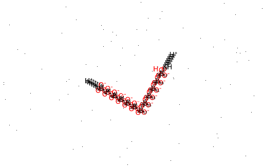 O.[H+].[H+].[H+].[H+].[H+].[H+].[H+].[H+].[H+].[H+].[H+].[H+].[KH].[O-]B([O-])[O-].[O-]B([O-])[O-].[O-]B([O-])[O-].[O-]B([O-])[O-].[O-]B([O-])[O-].[O-]B([O-])[O-].[O-]B([O-])[O-].[O-]B([O-])[O-].[O-]B([O-])[O-].[O-]B([O-])[O-].[O-]B([O-])[O-].[O-]B([O-])[O-]